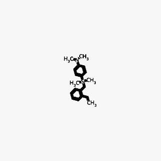 CCc1[c]cccc1C[Si](C)(C)c1ccc(N(C)C)cc1